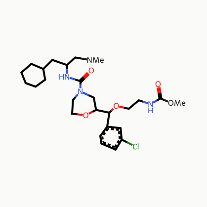 CNCC(CC1CCCCC1)NC(=O)N1CCOC(C(OCCNC(=O)OC)c2cccc(Cl)c2)C1